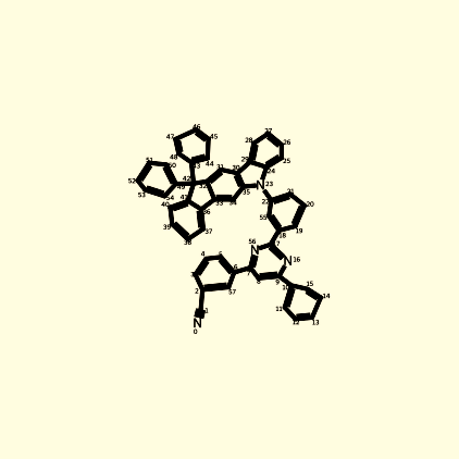 N#Cc1cccc(-c2cc(-c3ccccc3)nc(-c3cccc(-n4c5ccccc5c5cc6c(cc54)-c4ccccc4C6(c4ccccc4)c4ccccc4)c3)n2)c1